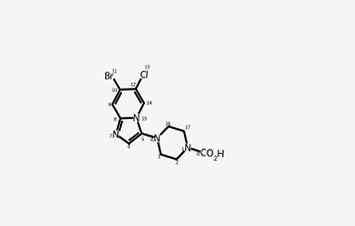 O=C(O)N1CCN(c2cnc3cc(Br)c(Cl)cn23)CC1